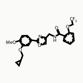 COc1ccc(-c2nc(CNC(=O)c3ccccc3OCC(F)(F)F)co2)cc1OCC1CC1